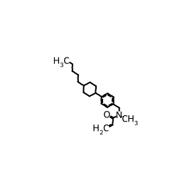 C=CC(=O)N(C)Cc1ccc(C2CCC(CCCCC)CC2)cc1